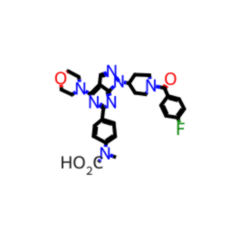 CN(C(=O)O)c1ccc(-c2nc(N3CCOCC3)c3cnn(C4CCN(C(=O)c5ccc(F)cc5)CC4)c3n2)cc1